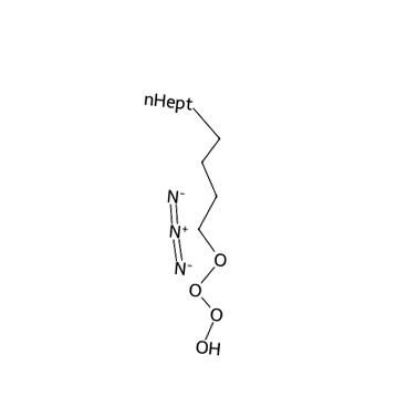 CCCCCCCCCCCOOOO.[N-]=[N+]=[N-]